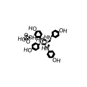 O=S(=O)(O)O.Oc1ccc(NC[PH](CNc2ccc(O)cc2)(CNc2ccc(O)cc2)CNc2ccc(O)cc2)cc1